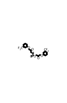 O=C(COc1cccc(C(F)(F)F)c1)CO[PH](=O)OCC(=O)COc1cccc(C(F)(F)F)c1